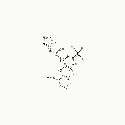 COc1cccc(F)c1Oc1c(C)cc(S(C)(=O)=O)cc1NC(=O)Nc1nccs1